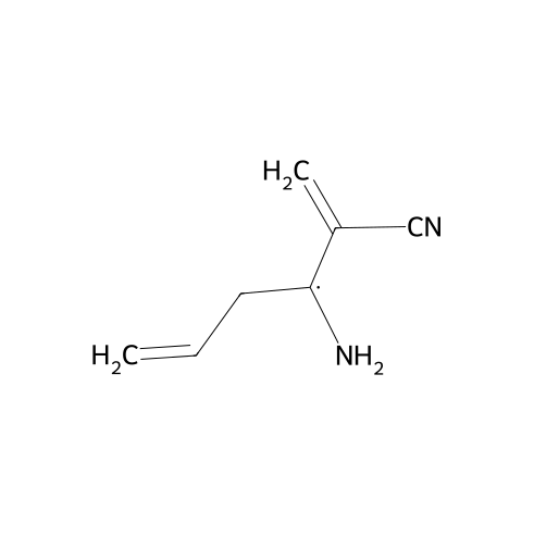 C=CC[C](N)C(=C)C#N